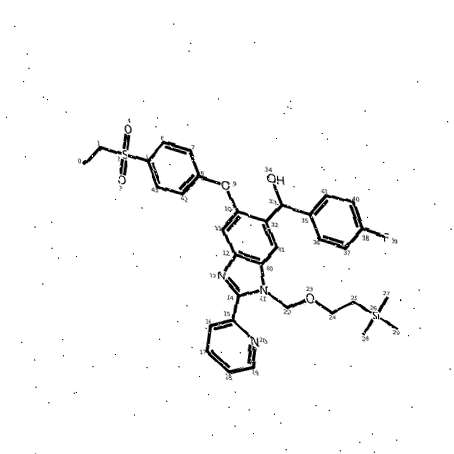 CCS(=O)(=O)c1ccc(Oc2cc3nc(-c4ccccn4)n(COCC[Si](C)(C)C)c3cc2C(O)c2ccc(F)cc2)cc1